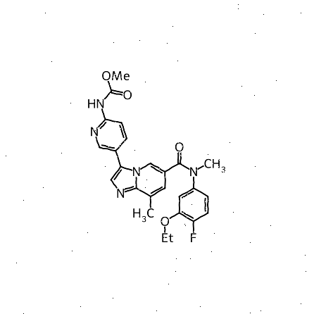 CCOc1cc(N(C)C(=O)c2cc(C)c3ncc(-c4ccc(NC(=O)OC)nc4)n3c2)ccc1F